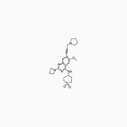 COc1cc2c(NC3CCS(=O)(=O)CC3)nc(N3CCC3)nc2cc1C#CCN1CCCC1